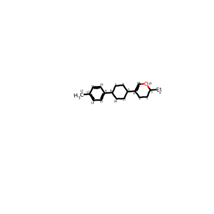 CCC1CCC(C2CCC(c3ccc(C)cc3)CC2)=CO1